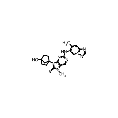 Cc1cc2ncnn2cc1Nc1ncc2c(n1)n(C13CCC(O)(CC1)C3)c(=S)n2C